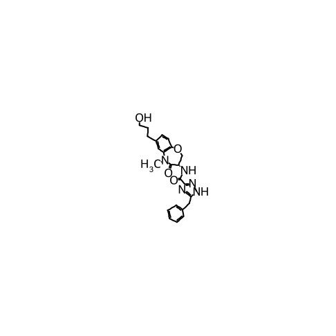 CN1C(=O)[C@@H](NC(=O)c2n[nH]c(Cc3ccccc3)n2)COc2ccc(CCCO)cc21